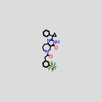 O=C(Cc1cccc(S(F)(F)(F)(F)F)c1)N1CCCc2nc(C3(c4ccccc4)CC3)[nH]c(=O)c2C1